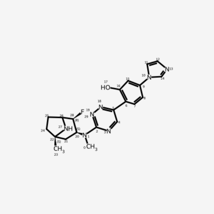 CN(c1ncc(-c2ccc(-n3ccnc3)cc2O)nn1)[C@H]1C[C@]2(C)CCC(N2)[C@H]1F